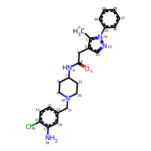 Cc1c(CC(=O)NC2CCN(Cc3ccc(Cl)c(N)c3)CC2)cnn1-c1ccccc1